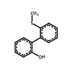 CSc1ccccc1-c1ccccc1O